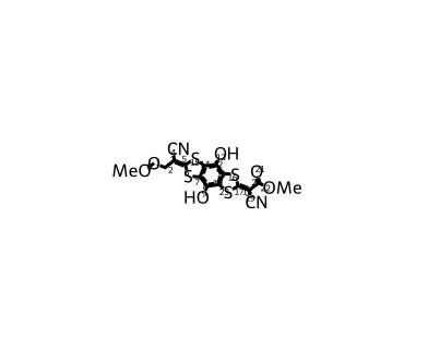 COOCC(C#N)=C1Sc2c(O)c3c(c(O)c2S1)SC(=C(C#N)C(=O)OC)S3